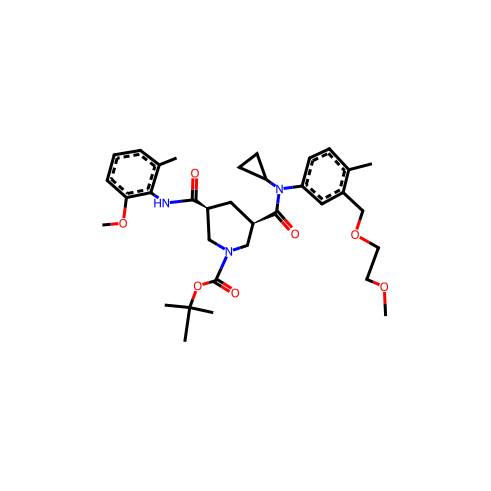 COCCOCc1cc(N(C(=O)[C@@H]2C[C@H](C(=O)Nc3c(C)cccc3OC)CN(C(=O)OC(C)(C)C)C2)C2CC2)ccc1C